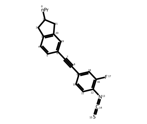 CCCC1Cc2ccc(C#Cc3ccc(N=C=S)c(F)c3)cc2C1